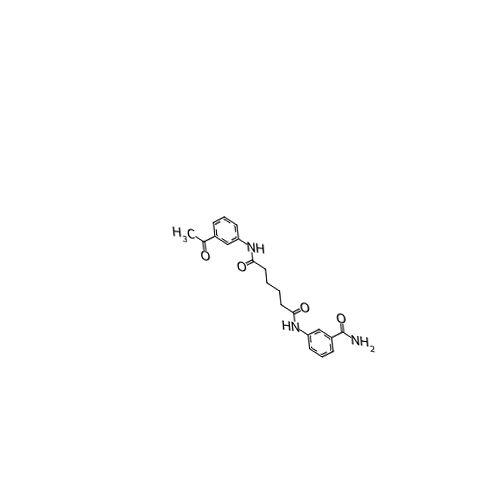 CC(=O)c1cccc(NC(=O)CCCCC(=O)Nc2cccc(C(N)=O)c2)c1